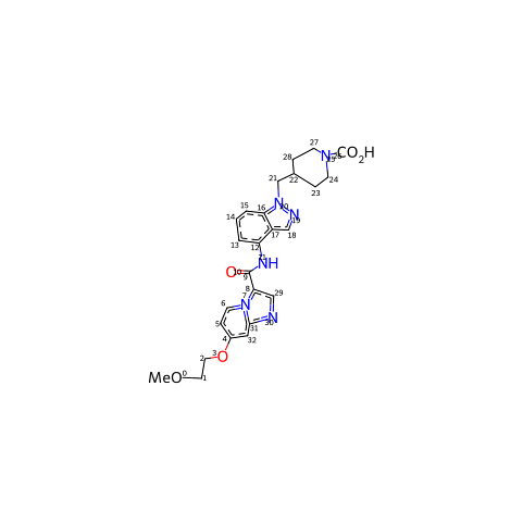 COCCOc1ccn2c(C(=O)Nc3cccc4c3cnn4CC3CCN(C(=O)O)CC3)cnc2c1